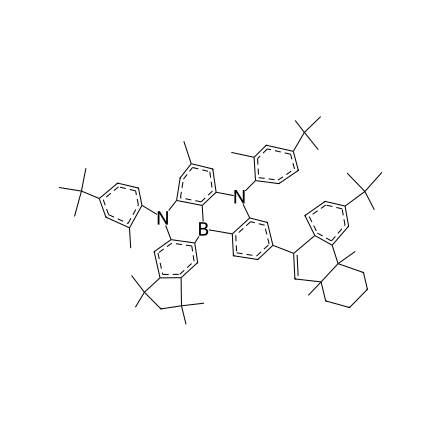 Cc1cc2c3c(c1)N(c1ccc(C(C)(C)C)cc1C)c1cc4c(cc1B3c1ccc(C3=CC5(C)CCCCC5(C)c5cc(C(C)(C)C)ccc53)cc1N2c1ccc(C(C)(C)C)cc1C)C(C)(C)CC4(C)C